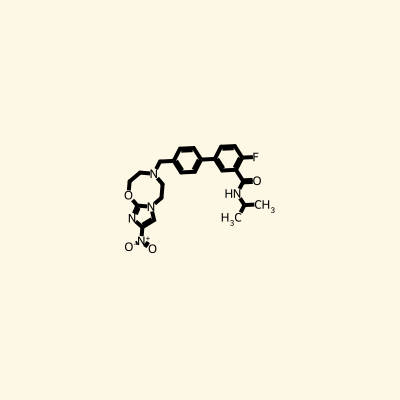 CC(C)NC(=O)c1cc(-c2ccc(CN3CCOc4nc([N+](=O)[O-])cn4CC3)cc2)ccc1F